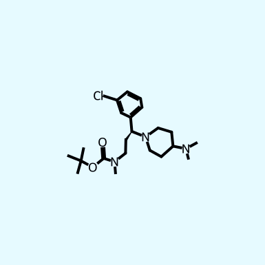 CN(CC[C@@H](c1cccc(Cl)c1)N1CCC(N(C)C)CC1)C(=O)OC(C)(C)C